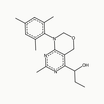 CCC(O)c1nc(C)nc2c1COCN2c1c(C)cc(C)cc1C